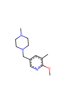 COc1ncc(CN2CCN(C)CC2)cc1C